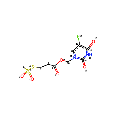 CS(=O)(=O)SCCC(=O)OCn1cc(F)c(=O)[nH]c1=O